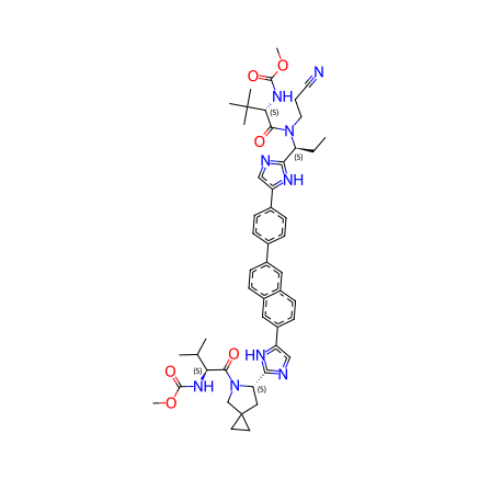 CC[C@@H](c1ncc(-c2ccc(-c3ccc4cc(-c5cnc([C@@H]6CC7(CC7)CN6C(=O)[C@@H](NC(=O)OC)C(C)C)[nH]5)ccc4c3)cc2)[nH]1)N(CCC#N)C(=O)[C@@H](NC(=O)OC)C(C)(C)C